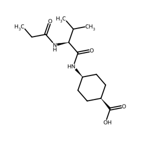 CCC(=O)N[C@H](C(=O)N[C@H]1CC[C@@H](C(=O)O)CC1)C(C)C